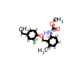 CCc1ccc(OCc2c(C)cccc2NC(=O)OC)c(F)c1